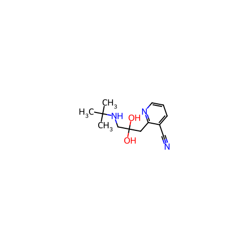 CC(C)(C)NCC(O)(O)Cc1ncccc1C#N